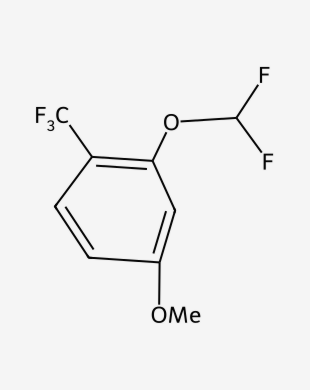 COc1ccc(C(F)(F)F)c(OC(F)F)c1